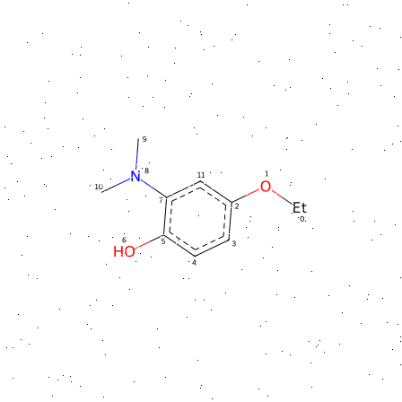 CCOc1ccc(O)c(N(C)C)c1